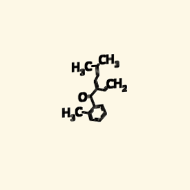 C=C/C(=C\C=C(C)C)C(=O)c1ccccc1C